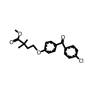 COC(=O)C(C)(C)CCOc1ccc(C(=O)c2ccc(Cl)cc2)cc1